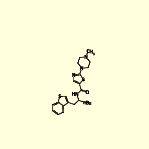 CCCCC(Cc1csc2ccccc12)NC(=O)c1cnc(N2CCN(C)CC2)s1